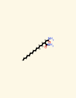 CCCCCCCCCCCCCCC(CC(N)=O)C(N)=O